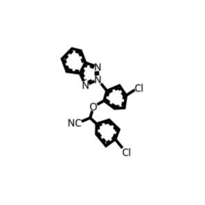 N#CC(Oc1ccc(Cl)cc1-n1nc2ccccc2n1)c1ccc(Cl)cc1